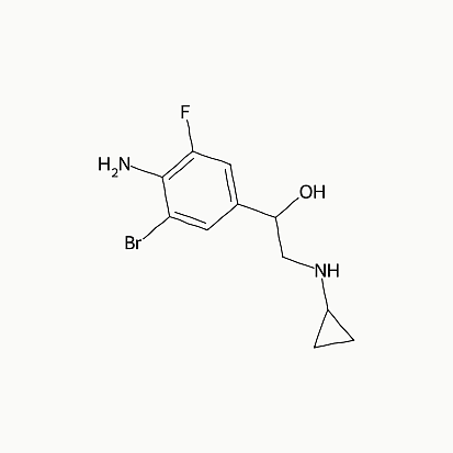 Nc1c(F)cc(C(O)CNC2CC2)cc1Br